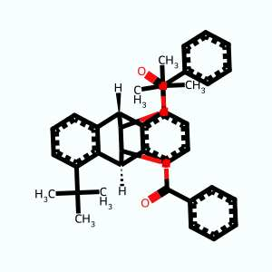 CC(C)(C)c1cccc2c1[C@H]1c3cccc(C(C)(C)C)c3[C@H]2C(OC(=O)c2ccccc2)C1OC(=O)c1ccccc1